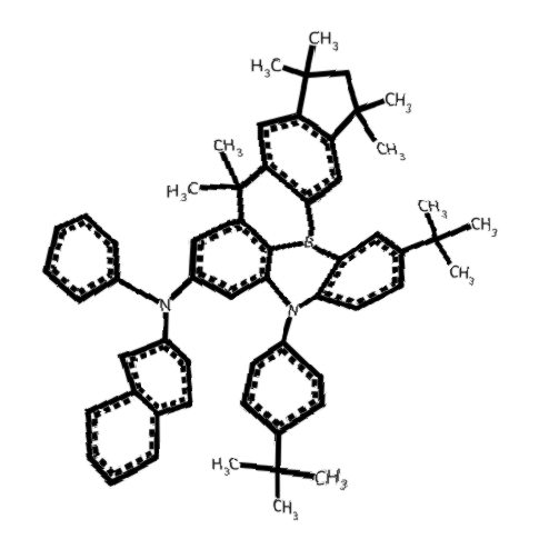 CC(C)(C)c1ccc(N2c3ccc(C(C)(C)C)cc3B3c4cc5c(cc4C(C)(C)c4cc(N(c6ccccc6)c6ccc7ccccc7c6)cc2c43)C(C)(C)CC5(C)C)cc1